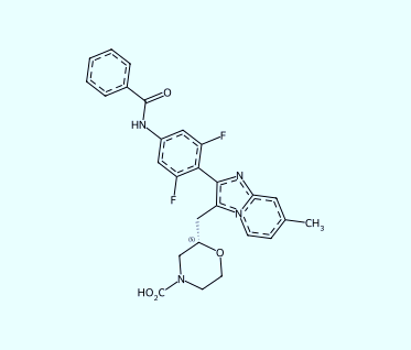 Cc1ccn2c(C[C@H]3CN(C(=O)O)CCO3)c(-c3c(F)cc(NC(=O)c4ccccc4)cc3F)nc2c1